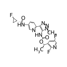 C[C@@H](OC(=O)Nc1c(-c2ccc(NC(=O)[C@@H]3C[C@H]3F)cn2)nnn1C)c1cc(F)cnc1F